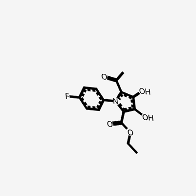 CCOC(=O)c1c(O)c(O)c(C(C)=O)n1-c1ccc(F)cc1